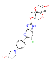 O[C@H]1CCN(c2ccc(-c3nc4nc(O[C@@H]5CO[C@H]6[C@@H]5OC[C@H]6O)[nH]c4cc3Cl)cc2)C1